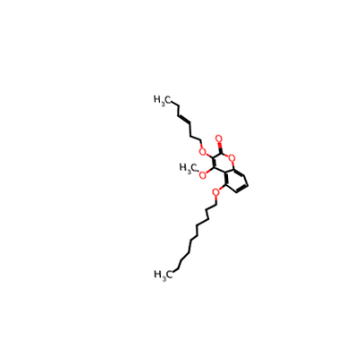 CCC=CCCOc1c(OC)c2c(OCCCCCCCCCC)cccc2oc1=O